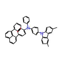 Cc1ccc2c(c1)c1cc(C)ccc1n2-c1ccc(N(c2ccccc2)c2ccc(-c3cccc4cccc(-c5ccccc5)c34)cc2)cc1